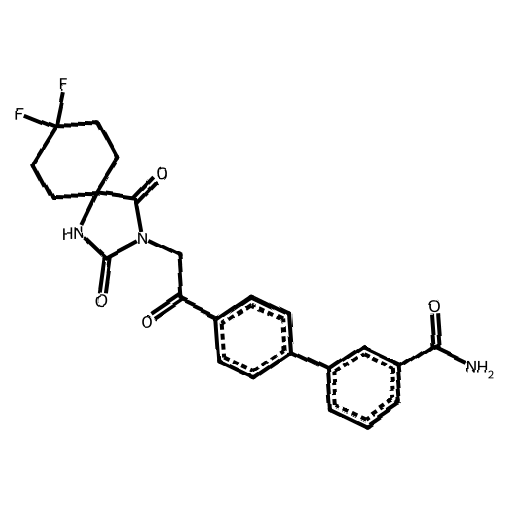 NC(=O)c1cccc(-c2ccc(C(=O)CN3C(=O)NC4(CCC(F)(F)CC4)C3=O)cc2)c1